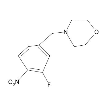 O=[N+]([O-])c1ccc(CN2CCOCC2)cc1F